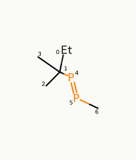 CCC(C)(C)/P=P/C